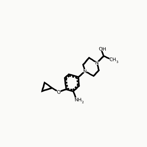 CC(O)N1CCN(c2ccc(OC3CC3)c(N)c2)CC1